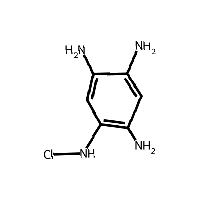 Nc1cc(N)c(NCl)cc1N